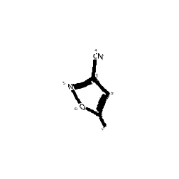 Cc1cc(C#N)no1